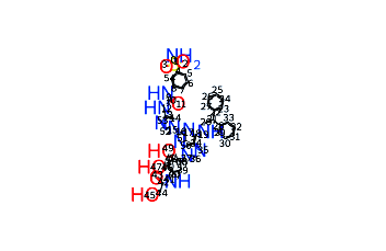 NS(=O)(=O)c1cccc(NC(=O)Nc2cn(-c3nc(NCC(c4ccccc4)c4ccccc4)c4ncn([C@@H]5C[C@H](NC(=O)CO)[C@@H](O)[C@H]5O)c4n3)cn2)c1